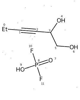 CCC#CC(O)CO.O=P(O)(F)F